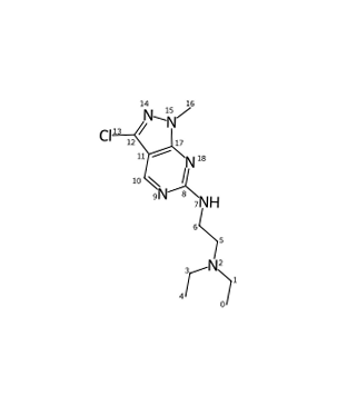 CCN(CC)CCNc1ncc2c(Cl)nn(C)c2n1